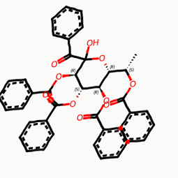 C[C@H](OC(=O)c1ccccc1)[C@H]1OC(O)(C(=O)c2ccccc2)[C@H](OC(=O)c2ccccc2)[C@@H](OC(=O)c2ccccc2)[C@@H]1OC(=O)c1ccccc1